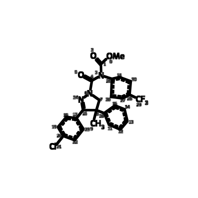 COC(=O)N(C(=O)N1CC(C)(c2ccccc2)C(c2ccc(Cl)cc2)=N1)c1ccc(C(F)(F)F)cc1